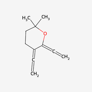 C=C=C1CCC(C)(C)OC1=C=C